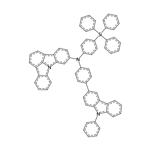 c1ccc(-n2c3ccccc3c3cc(-c4ccc(N(c5ccc([Si](c6ccccc6)(c6ccccc6)c6ccccc6)cc5)c5ccc6c7cccc8c9ccccc9n(c6c5)c87)cc4)ccc32)cc1